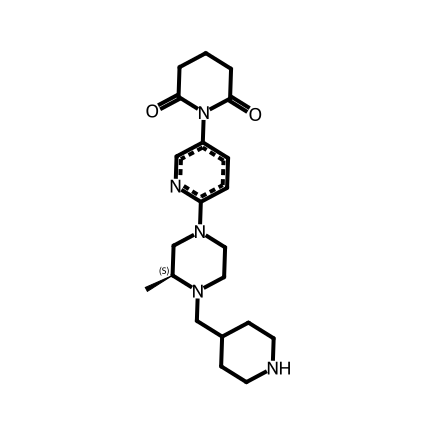 C[C@H]1CN(c2ccc(N3C(=O)CCCC3=O)cn2)CCN1CC1CCNCC1